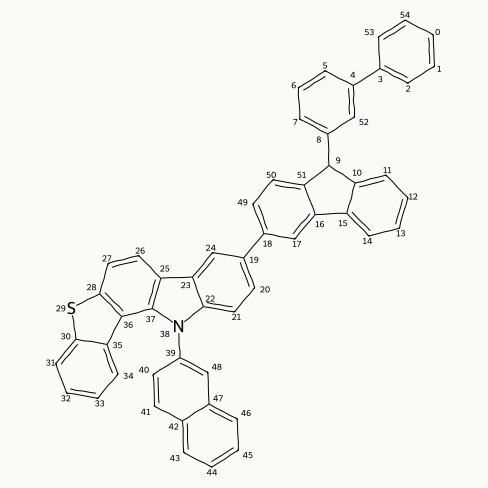 c1ccc(-c2cccc(C3c4ccccc4-c4cc(-c5ccc6c(c5)c5ccc7sc8ccccc8c7c5n6-c5ccc6ccccc6c5)ccc43)c2)cc1